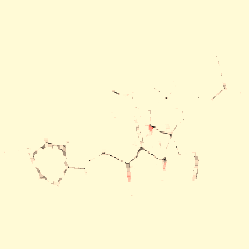 C=CC[C@]12C[C@@H](CC=C(C)C)C(C)(C)[C@](CC=C)(C1=O)C(O)=C(C(=O)CCc1ccc(C(F)(F)F)cc1)C2=O